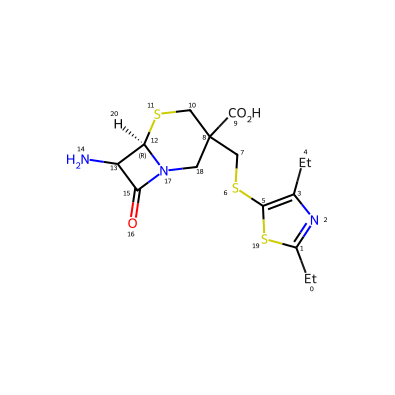 CCc1nc(CC)c(SCC2(C(=O)O)CS[C@@H]3C(N)C(=O)N3C2)s1